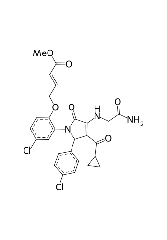 COC(=O)/C=C/COc1ccc(Cl)cc1N1C(=O)C(NCC(N)=O)=C(C(=O)C2CC2)C1c1ccc(Cl)cc1